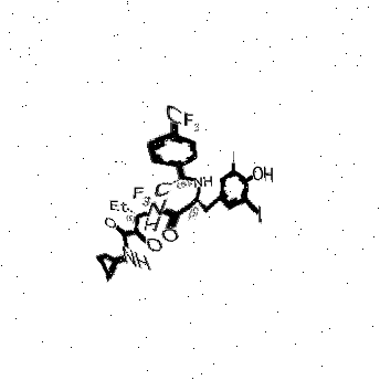 CC[C@H](NC(=O)[C@H](Cc1cc(I)c(O)c(I)c1)N[C@@H](c1ccc(C(F)(F)F)cc1)C(F)(F)F)C(=O)C(=O)NC1CC1